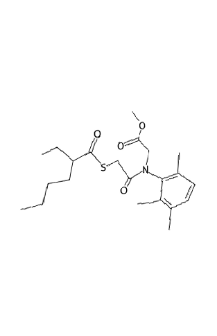 CCCCC(CC)C(=O)SCC(=O)N(CC(=O)OC)c1c(C)ccc(C)c1C